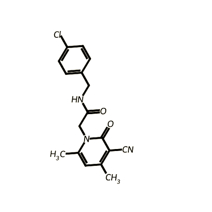 Cc1cc(C)n(CC(=O)NCc2ccc(Cl)cc2)c(=O)c1C#N